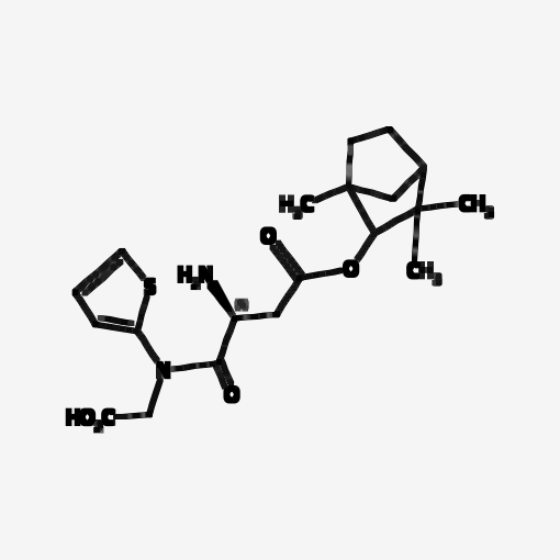 CC12CCC(C1)C(C)(C)C2OC(=O)C[C@H](N)C(=O)N(CC(=O)O)c1cccs1